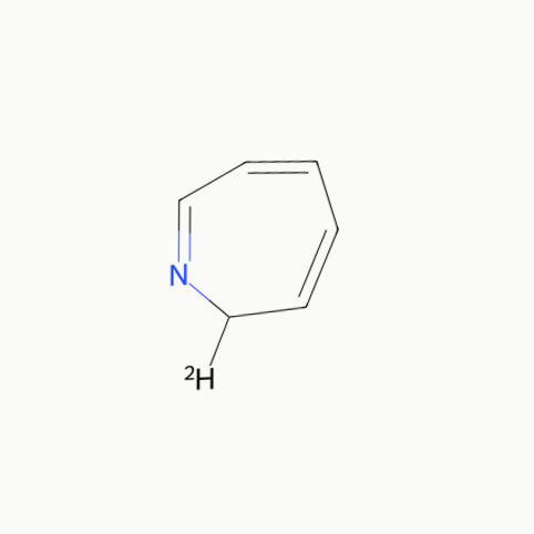 [2H]C1C=CC=CC=N1